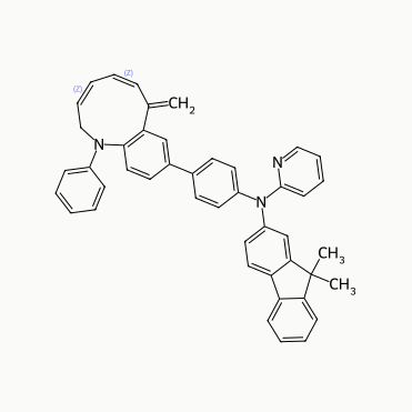 C=C1/C=C\C=C/CN(c2ccccc2)c2ccc(-c3ccc(N(c4ccc5c(c4)C(C)(C)c4ccccc4-5)c4ccccn4)cc3)cc21